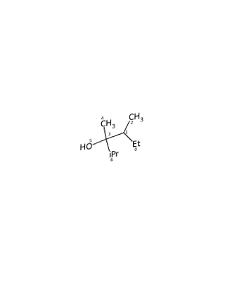 CCC(C)C(C)(O)C(C)C